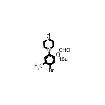 CC(C)(C)OC=O.FC(F)(F)c1cc(N2CCNCC2)ccc1Br